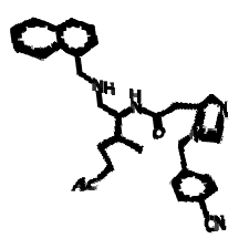 CC(=O)CCC(C)C(CNCc1cccc2ccccc12)NC(=O)Cc1cncn1Cc1ccc(C#N)cc1